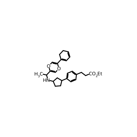 CCOC(=O)CCc1ccc(C2CCC(NC(C)C3=COC(C4=CC=CCC4)=CO3)C2)cc1